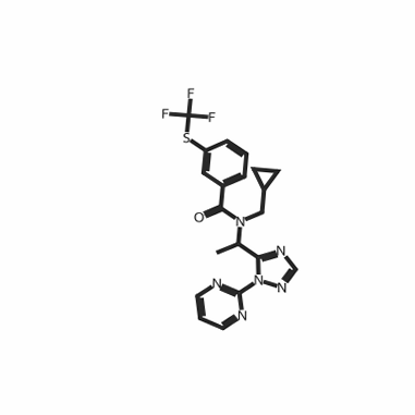 CC(c1ncnn1-c1ncccn1)N(CC1CC1)C(=O)c1cccc(SC(F)(F)F)c1